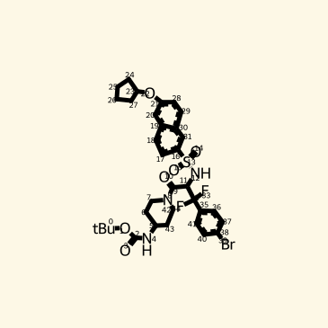 CC(C)(C)OC(=O)NC1CCN(C(=O)C(NS(=O)(=O)c2ccc3cc(OC4CCCC4)ccc3c2)C(F)(F)c2ccc(Br)cc2)CC1